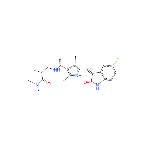 C=C(NCC(C)C(=O)N(C)C)c1c(C)[nH]c(/C=C2\C(=O)Nc3ccc(F)cc32)c1C